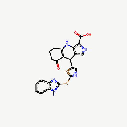 O=C1CCCC2=C1C(c1cnc(Sc3nc4ccccc4[nH]3)s1)c1c[nH]c(C(=O)O)c1N2